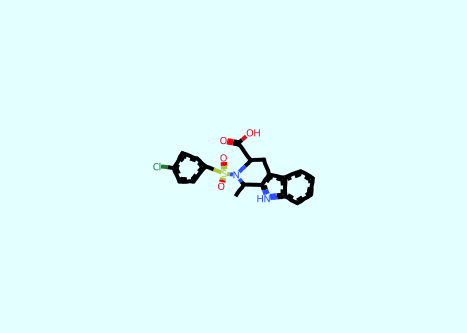 CC1c2[nH]c3ccccc3c2CC(C(=O)O)N1S(=O)(=O)c1ccc(Cl)cc1